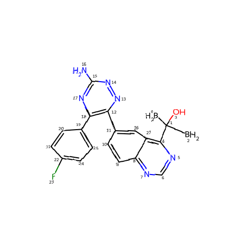 BC(B)(O)c1ncnc2ccc(-c3nnc(N)nc3-c3ccc(F)cc3)cc12